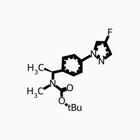 C[C@@H](c1ccc(-n2cc(F)cn2)cc1)N(C)C(=O)OC(C)(C)C